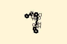 O=C(NCCNC(=O)c1c(Cl)ccc(-n2cc(-c3ccccc3)cn2)c1Cl)N[C@@H]1CCc2ccccc21